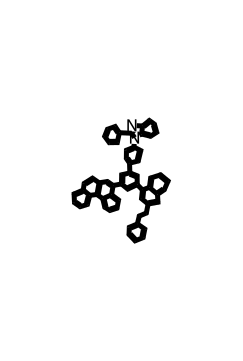 c1ccc(CCc2cc(-c3cc(-c4ccc(-n5c(-c6ccccc6)nc6ccccc65)cc4)cc(-c4cc5ccc6ccccc6c5c5ccccc45)c3)c3ccccc3c2)cc1